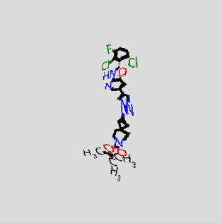 CC(C)(C)OC(=O)N1CCC2(CC1)CC(n1cc(-c3cnc4c(c3)O[C@@H](c3c(Cl)ccc(F)c3Cl)N4)cn1)C2